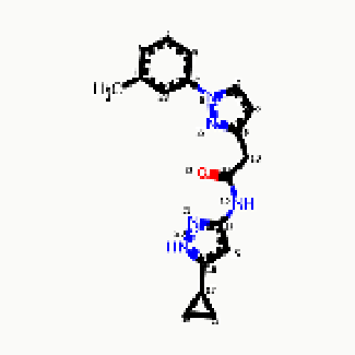 Cc1cccc(-n2ccc(CC(=O)Nc3cc(C4CC4)[nH]n3)n2)c1